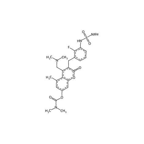 CNS(=O)(=O)Nc1cccc(Cc2c(CN(C)C)c3c(C)cc(OC(=O)N(C)C)cc3oc2=O)c1F